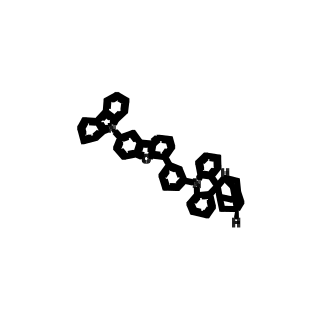 c1cc(-c2cccc3c2oc2ccc(-n4c5ccccc5c5ccccc54)cc23)cc(N2c3ccccc3C3(c4ccccc42)C2CC4C[C@H](C2)C[C@H]3C4)c1